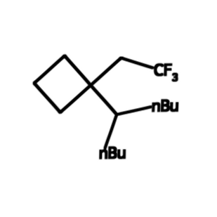 CCCCC(CCCC)C1(CC(F)(F)F)CCC1